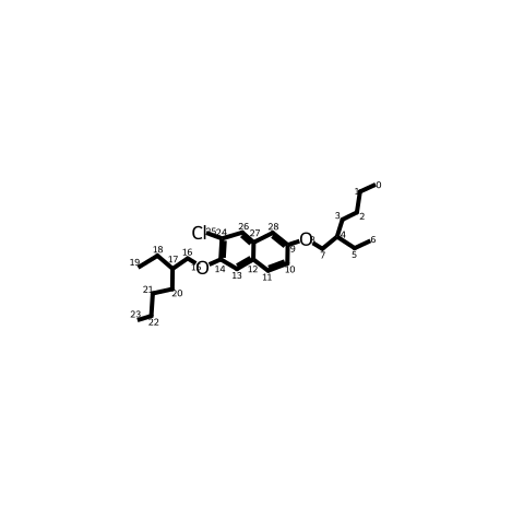 CCCCC(CC)COc1ccc2cc(OCC(CC)CCCC)c(Cl)cc2c1